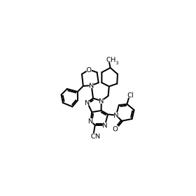 CC1CCC(Cn2c(N3CCOCC3c3ccccc3)nc3nc(C#N)nc(-n4cc(Cl)ccc4=O)c32)CC1